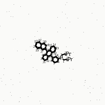 CC(C)CP(CC(C)C)c1cccc(-c2c3ccccc3c(-c3ccc4ccccc4c3)c3ccccc23)c1